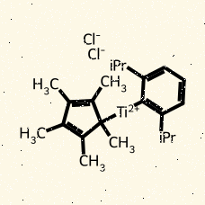 CC1=C(C)[C](C)([Ti+2][c]2c(C(C)C)cccc2C(C)C)C(C)=C1C.[Cl-].[Cl-]